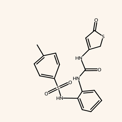 Cc1ccc(S(=O)(=O)Nc2ccccc2NC(=O)NC2=CC(=O)SC2)cc1